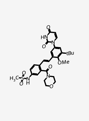 COc1c(C=Cc2ccc(NS(C)(=O)=O)cc2C(=O)N2CCOCC2)cc(-n2ccc(=O)[nH]c2=O)cc1C(C)(C)C